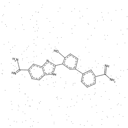 N=C(N)c1cccc(-c2ccc(O)c(-c3nc4cc(C(=N)N)ccc4[nH]3)c2)c1